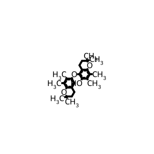 Cc1c(Oc2c(O)c(C)c(C)c3c2CCC(C)(C)O3)cc2c(c1C)OC(C)(C)CC2